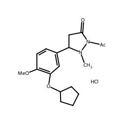 COc1ccc(C2CC(=O)N(C(C)=O)N2C)cc1OC1CCCC1.Cl